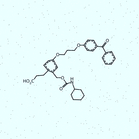 O=C(O)CCc1ccc(OCCCOc2ccc(C(=O)c3ccccc3)cc2)cc1COC(=O)NC1CCCCC1